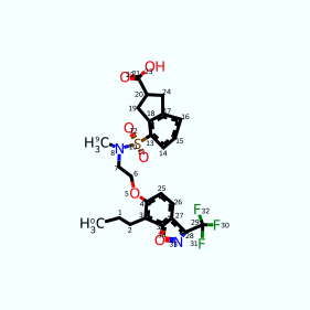 CCCc1c(OCCN(C)S(=O)(=O)c2cccc3c2CC(C(=O)O)C3)ccc2c(C(F)(F)F)noc12